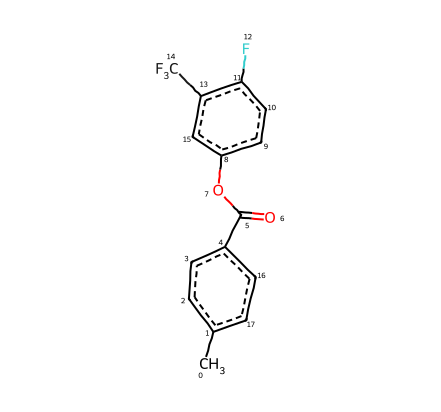 Cc1ccc(C(=O)Oc2ccc(F)c(C(F)(F)F)c2)cc1